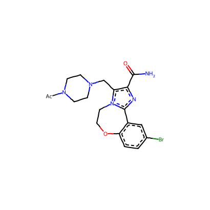 CC(=O)N1CCN(Cc2c(C(N)=O)nc3n2CCOc2ccc(Br)cc2-3)CC1